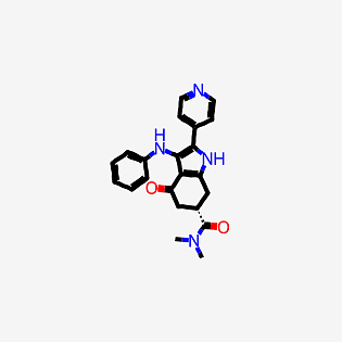 CN(C)C(=O)[C@@H]1CC(=O)c2c([nH]c(-c3ccncc3)c2Nc2ccccc2)C1